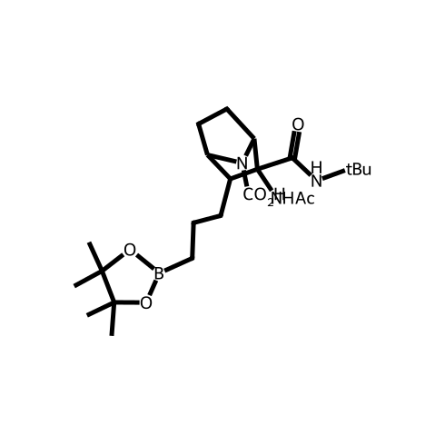 CC(=O)NC1(C(=O)NC(C)(C)C)C(CCCB2OC(C)(C)C(C)(C)O2)C2CCC1N2C(=O)O